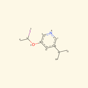 CC(I)Oc1cncc(C(C)C)c1